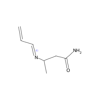 C=C/C=N/C(C)CC(N)=O